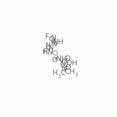 CC(C)N1CCn2c(CNC(=O)[C@H]3CCCC(Nc4nc(-c5n[nH]c6ncc(F)cc56)ncc4F)C3)cc(=O)c(O)c2C1=O